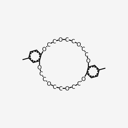 Cc1ccc2c(c1)OCCOCCOCCOc1ccc(C)cc1OCCOCCOCCO2